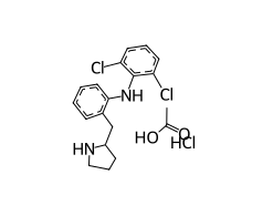 CC(=O)O.Cl.Clc1cccc(Cl)c1Nc1ccccc1CC1CCCN1